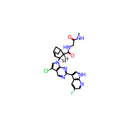 CNC(=O)CNC(=O)[C@H]1C2CC(=C[C@@H]1n1cc(Cl)c3cnc(-c4c[nH]c5ncc(F)cc45)nc31)C2